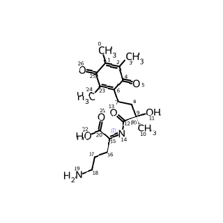 CC1=C(C)C(=O)C(CC[C@@](C)(O)C(=O)/N=C(/CCCN)C(=O)O)=C(C)C1=O